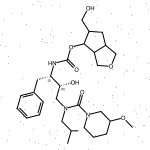 COC1CCCN(C(=O)N(CC(C)C)C[C@@H](O)[C@H](Cc2ccccc2)NC(=O)OC2C(CO)CC3COCC32)C1